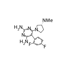 CN[C@@H]1CCN(c2nc(N)nc(N)c2-c2ccc(F)cc2F)C1